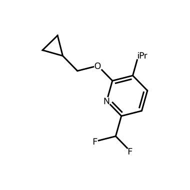 CC(C)c1ccc(C(F)F)nc1OCC1CC1